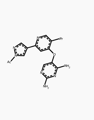 CC(=O)n1cc(-c2cc(Oc3cnc(N)nc3N)c(C(C)C)cn2)cn1